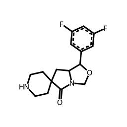 O=C1N2COC(c3cc(F)cc(F)c3)C2CC12CCNCC2